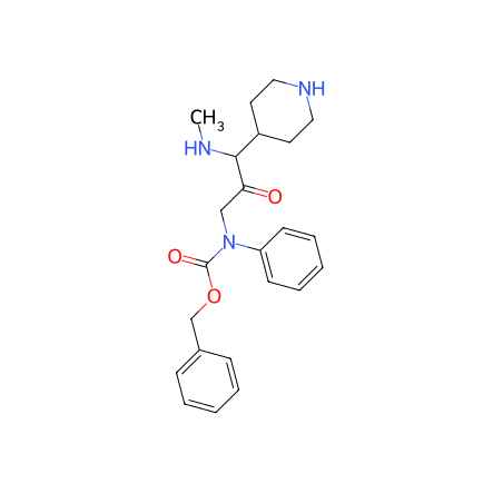 CNC(C(=O)CN(C(=O)OCc1ccccc1)c1ccccc1)C1CCNCC1